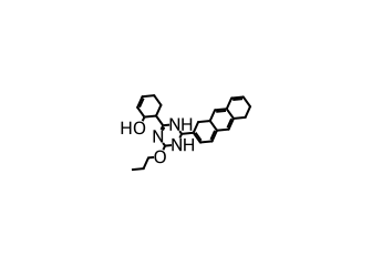 CCCOC1N=C(C2CCC=CC2O)NC(C2=CC=C3C=C4CCC=CC4=CC3C2)N1